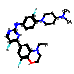 CC(C)CN1CCOc2c(F)cc(-c3nc(Nc4ccc(N5CCC(N(C)C)CC5)c(F)c4)ncc3F)cc21